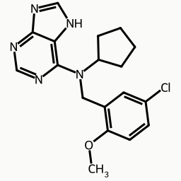 COc1ccc(Cl)cc1CN(c1ncnc2nc[nH]c12)C1CCCC1